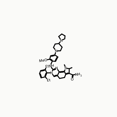 CCc1cccc(CC)c1N1C=C2CCC3=C(C(N)=O)C(C)N(C)C3=C2N=C1Nc1ccc(N2CCC(N3CCCC3)CC2)cc1OC